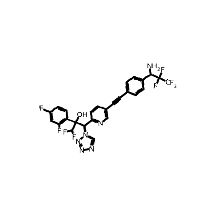 NC(c1ccc(C#Cc2ccc(C(n3cnnn3)C(O)(c3ccc(F)cc3F)C(F)F)nc2)cc1)C(F)(F)C(F)(F)F